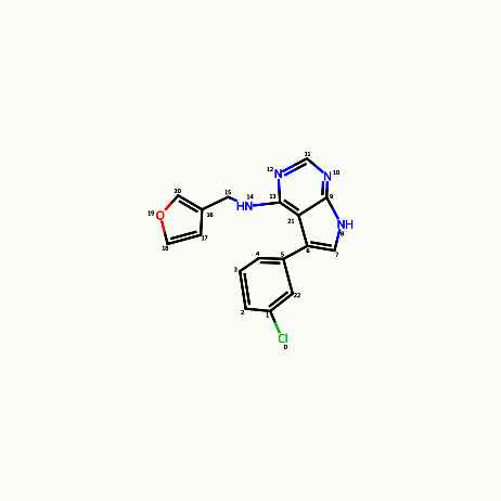 Clc1cccc(-c2c[nH]c3ncnc(NCc4ccoc4)c23)c1